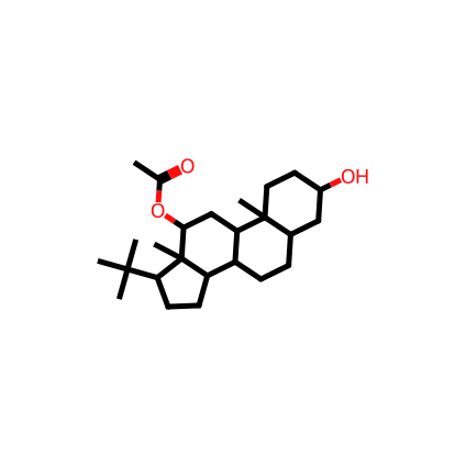 CC(=O)OC1CC2C(CCC3CC(O)CCC32C)C2CCC(C(C)(C)C)C12C